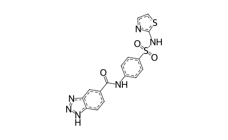 O=C(Nc1ccc(S(=O)(=O)Nc2nccs2)cc1)c1ccc2[nH]nnc2c1